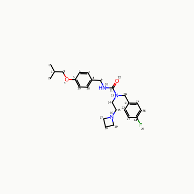 CC(C)COc1ccc(CNC(=O)N(CCN2CCC2)Cc2ccc(F)cc2)cc1